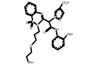 CCCCCCCCCCCCOCCCN1C(C(C(=O)Nc2ccccc2OC)n2cc(C(=O)O)cn2)=Nc2ccccc2S1(=O)=O